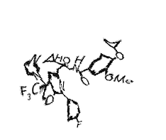 COc1cc(C(=O)NC[C@](O)(c2cc3c(c(-c4ccc(F)cc4)n2)OC[C@@]3(n2ccnc2)C(F)(F)F)C2CC2)ccc1OC1CC1